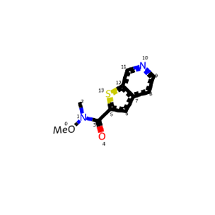 CON(C)C(=O)c1cc2ccncc2s1